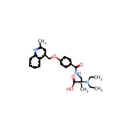 CCN(CC)[C@@](C)(CNC(=O)c1ccc(OCc2cc(C)nc3ccccc23)cc1)C(=O)O